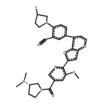 COc1cc(C(=O)N2CC[C@H](N(C)C)C2)cnc1-c1cc2nccc(-c3ccc(N4CCC(F)C4)c(C#N)c3)c2o1